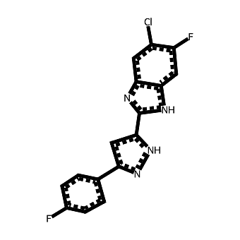 Fc1ccc(-c2cc(-c3nc4cc(Cl)c(F)cc4[nH]3)[nH]n2)cc1